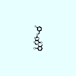 Cc1cccc(Cl)c1-n1cnc2nc(SCc3cccc(F)c3)sc2c1=O